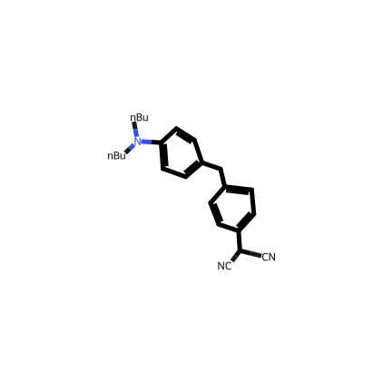 CCCCN(CCCC)c1ccc(Cc2ccc(C(C#N)C#N)cc2)cc1